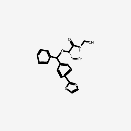 CC(C)C[C@H](OC(c1ccccc1)c1ccc(-c2nccs2)cc1)C(=O)NCC#N